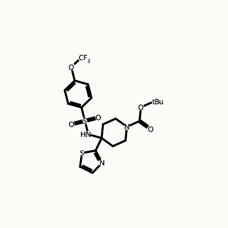 CC(C)(C)OC(=O)N1CCC(NS(=O)(=O)c2ccc(OC(F)(F)F)cc2)(c2nccs2)CC1